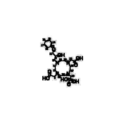 O=C(O)CN1CCN(CC(O)COc2ccccc2)CCN(CC(=O)O)CCN(CP(=O)(O)O)CC1